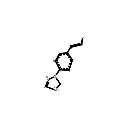 [CH2]/C=C/c1ccc(N2CNC=N2)cc1